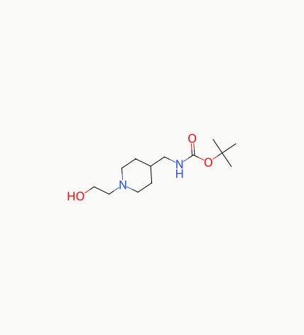 CC(C)(C)OC(=O)NCC1CCN(CCO)CC1